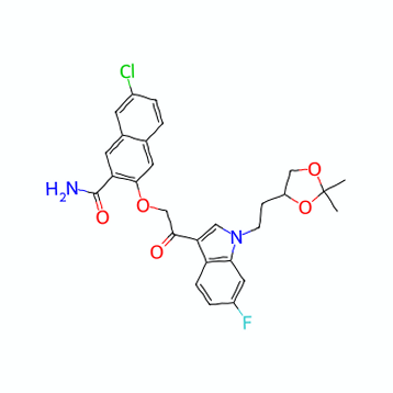 CC1(C)OCC(CCn2cc(C(=O)COc3cc4ccc(Cl)cc4cc3C(N)=O)c3ccc(F)cc32)O1